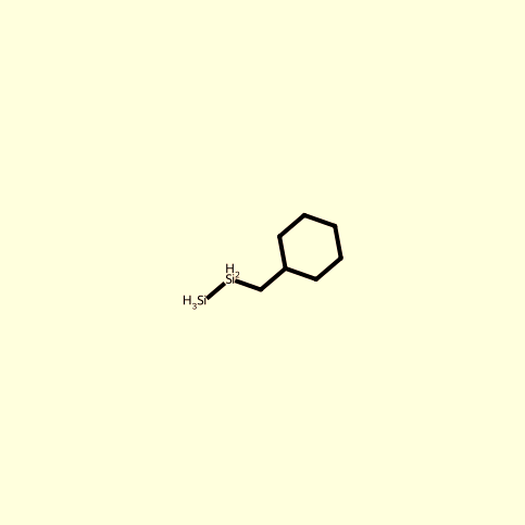 [SiH3][SiH2]CC1CCCCC1